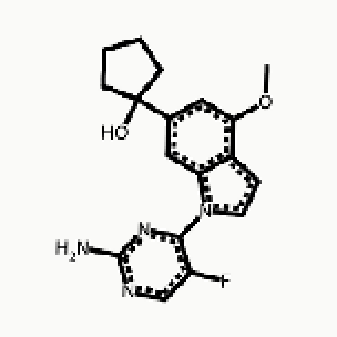 COc1cc(C2(O)CCCC2)cc2c1ccn2-c1nc(N)ncc1F